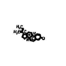 C=CC(=C)[C@H]1CC[C@H]2[C@@H]3CCC4CC(=O)C=C[C@]4(C)[C@H]3CC[C@]12C